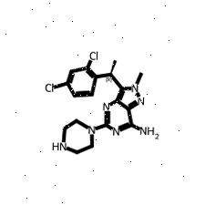 C[C@H](c1ccc(Cl)cc1Cl)c1c2nc(N3CCNCC3)nc(N)c2nn1C